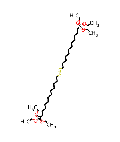 CCO[Si](CCCCCCCCCCCCSSCCCCCCCCCCCC[Si](OCC)(OCC)OCC)(OCC)OCC